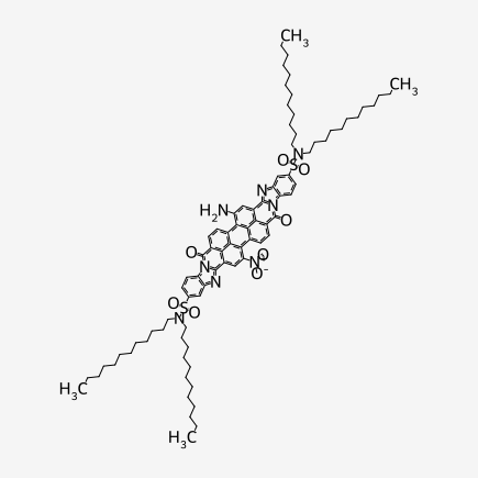 CCCCCCCCCCCCN(CCCCCCCCCCCC)S(=O)(=O)c1ccc2c(c1)nc1c3cc(N)c4c5ccc6c(=O)n7c8ccc(S(=O)(=O)N(CCCCCCCCCCCC)CCCCCCCCCCCC)cc8nc7c7cc([N+](=O)[O-])c(c8ccc(c(=O)n21)c3c84)c5c67